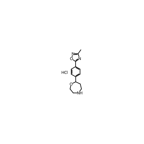 Cc1noc(-c2ccc(C3CCNCCO3)cc2)n1.Cl